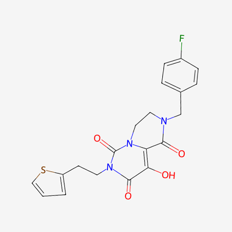 O=C1c2c(O)c(=O)n(CCc3cccs3)c(=O)n2CCN1Cc1ccc(F)cc1